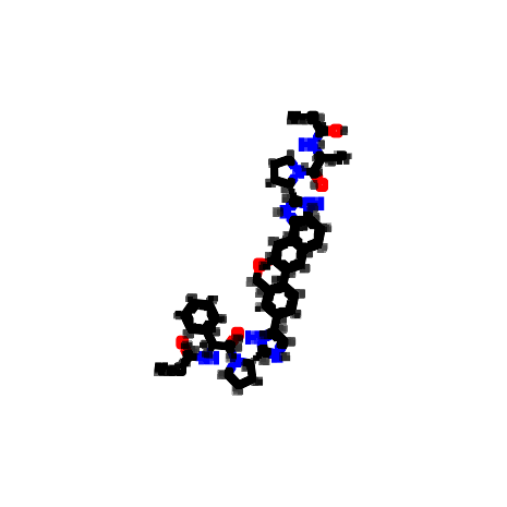 COC(=O)NC(C(=O)N1CCC[C@H]1c1nc2c(ccc3cc4c(cc32)OCc2cc(-c3cnc([C@@H]5CCCN5C(=O)[C@H](NC(=O)OC)c5ccccc5)[nH]3)ccc2-4)[nH]1)C(C)C